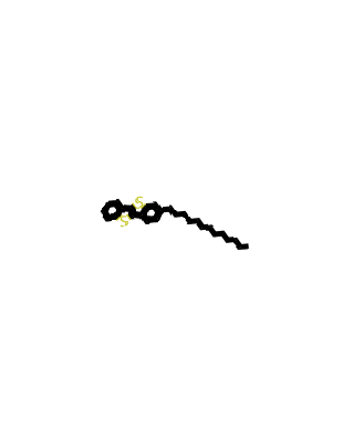 CCCCCCCCCCCCCc1ccc2c(c1)sc1c3ccccc3sc21